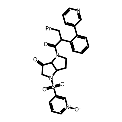 CC(C)CC(C(=O)N1CCC2C1C(=O)CN2S(=O)(=O)c1ccc[n+]([O-])c1)c1ccccc1-c1cccnc1